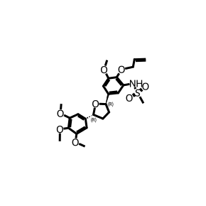 C=CCOc1c(NS(C)(=O)=O)cc([C@H]2CC[C@H](c3cc(OC)c(OC)c(OC)c3)O2)cc1OC